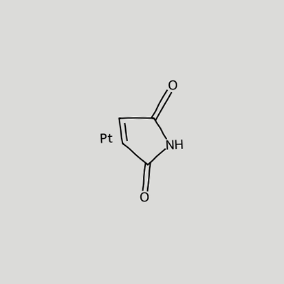 O=C1C=CC(=O)N1.[Pt]